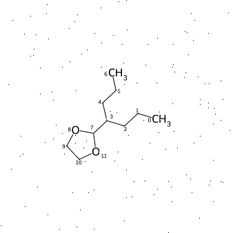 CCCC(CCC)C1OCCO1